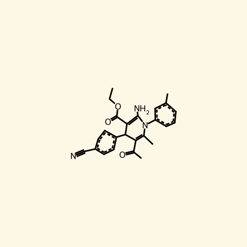 CCOC(=O)C1=C(N)N(c2cccc(C)c2)C(C)=C(C(C)=O)C1c1ccc(C#N)cc1